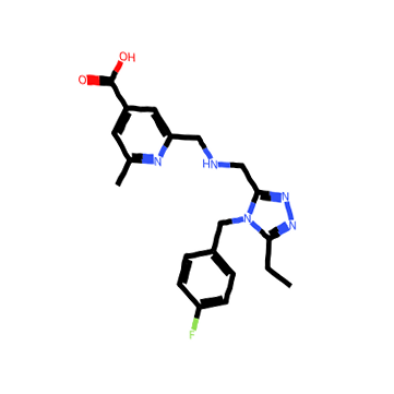 CCc1nnc(CNCc2cc(C(=O)O)cc(C)n2)n1Cc1ccc(F)cc1